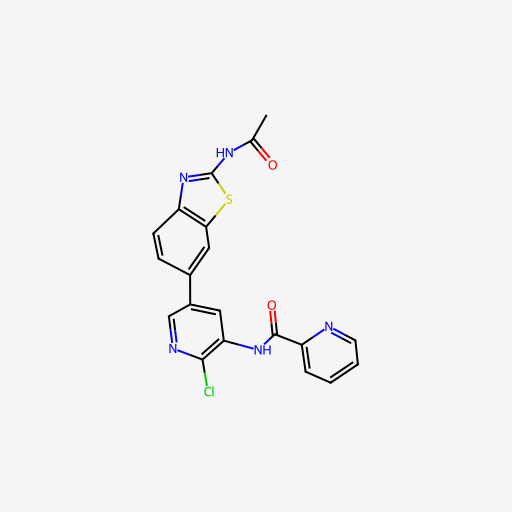 CC(=O)Nc1nc2ccc(-c3cnc(Cl)c(NC(=O)c4ccccn4)c3)cc2s1